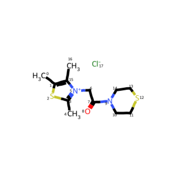 Cc1sc(C)[n+](CC(=O)N2CCSCC2)c1C.[Cl-]